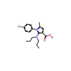 CCCN(CCC)c1c(C(=O)OC)cc(C)n1-c1ccc(Cl)cc1